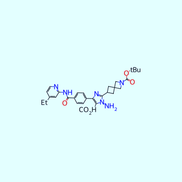 CCc1ccnc(NC(=O)c2ccc(-c3nc(C4CC5(C4)CN(C(=O)OC(C)(C)C)C5)n(N)c3C(=O)O)cc2)c1